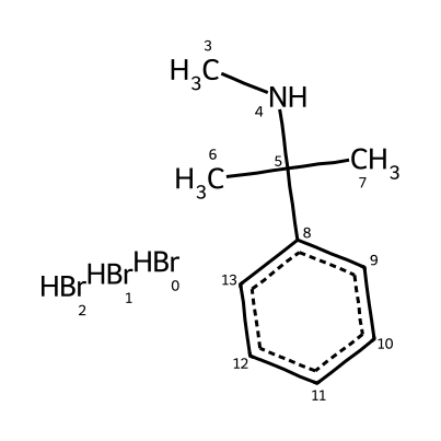 Br.Br.Br.CNC(C)(C)c1ccccc1